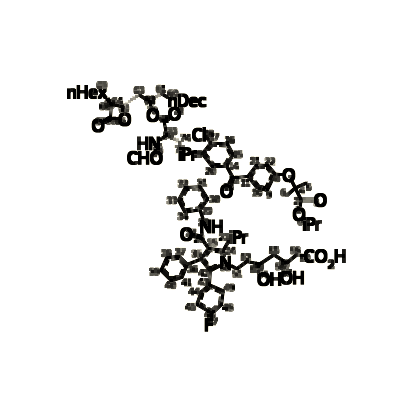 CC(C)OC(=O)C(C)(C)Oc1ccc(C(=O)c2ccc(Cl)cc2)cc1.CC(C)c1c(C(=O)Nc2ccccc2)c(-c2ccccc2)c(-c2ccc(F)cc2)n1CC[C@@H](O)C[C@@H](O)CC(=O)O.CCCCCCCCCCC[C@@H](C[C@@H]1OC(=O)[C@H]1CCCCCC)OC(=O)[C@H](CC(C)C)NC=O